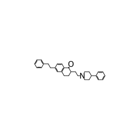 O=C1c2ccc(CCc3ccccc3)cc2CCC1CCN1CCC(c2ccccc2)CC1